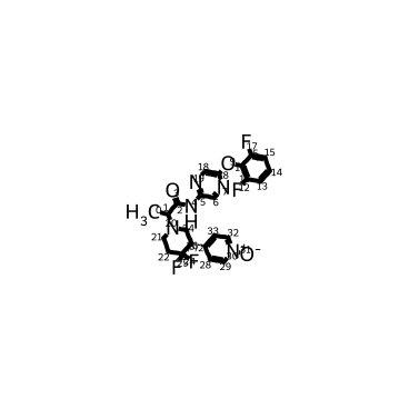 CC(C(=O)Nc1cnc(Oc2c(F)cccc2F)cn1)N1CCC(F)(F)[C@@H](c2cc[n+]([O-])cc2)C1